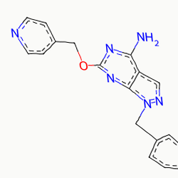 Nc1nc(OCc2ccncc2)nc2c1cnn2Cc1ccccc1